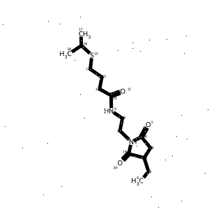 CCC1CC(=O)N(CCNC(=O)CCCSC(C)C)C1=O